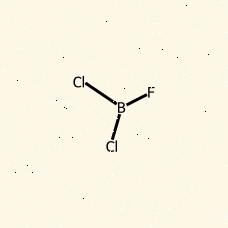 FB(Cl)Cl